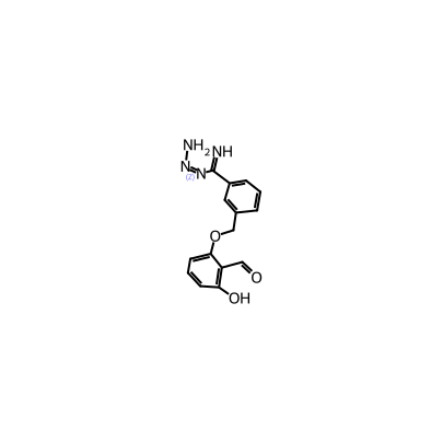 N=C(/N=N\N)c1cccc(COc2cccc(O)c2C=O)c1